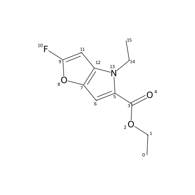 CCOC(=O)c1cc2oc(F)cc2n1CC